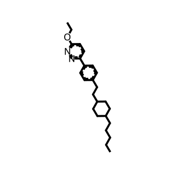 CCCCCC1CCC(CCc2ccc(-c3ccc(OCC)nn3)cc2)CC1